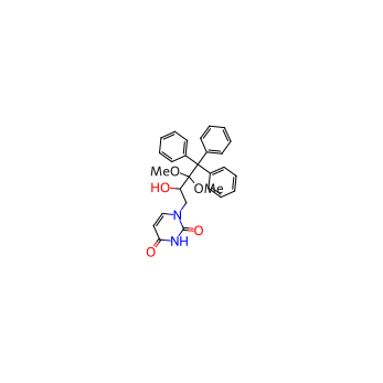 COC(OC)(C(O)Cn1ccc(=O)[nH]c1=O)C(c1ccccc1)(c1ccccc1)c1ccccc1